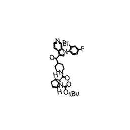 CC(C)(C)OC(=O)N1[C@@H]2CC[C@@H](C2)[C@H]1C(=O)N1CCC(C(=O)c2cn(-c3ccc(F)cc3Br)c3cnccc23)CC1